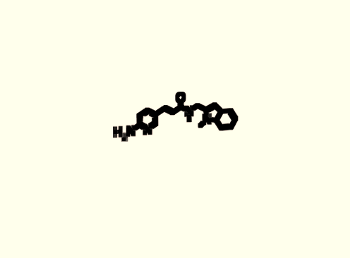 CN(CC1=CC2C=CC=CC2N1C)C(=O)/C=C/c1ccc(N)nc1